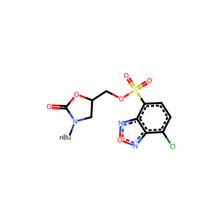 CCCCN1CC(COS(=O)(=O)c2ccc(Cl)c3nonc23)OC1=O